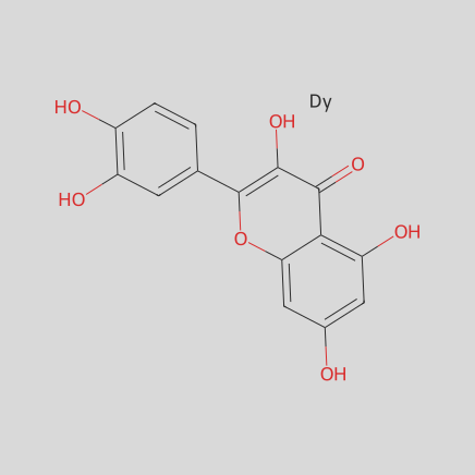 O=c1c(O)c(-c2ccc(O)c(O)c2)oc2cc(O)cc(O)c12.[Dy]